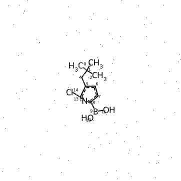 CC(C)(C)Cc1ccc(B(O)O)nc1Cl